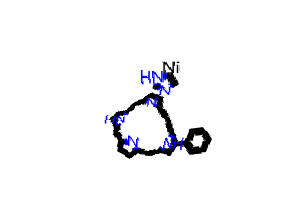 C1=Cc2cc3cc(-c4ccccc4)c(cc4nc(cc5ccc(cc1n2)[nH]5)C=C4)[nH]3.[Ni].c1c[nH]cn1